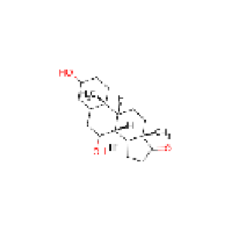 C[C@]12CCC(O)CC1CC(O)[C@@H]1[C@H]2CC[C@]2(C)C(=O)CC[C@@H]12